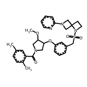 COC1CN(C(=O)c2cc(C)ccc2C)CC1Oc1cccc(CS(=O)(=O)N2CCC23CN(c2ccccn2)C3)c1